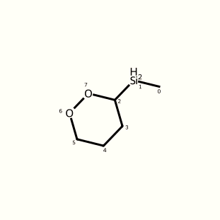 C[SiH2]C1CCCOO1